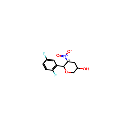 O=[N+]([O-])[C@H]1CC(O)COC1c1cc(F)ccc1F